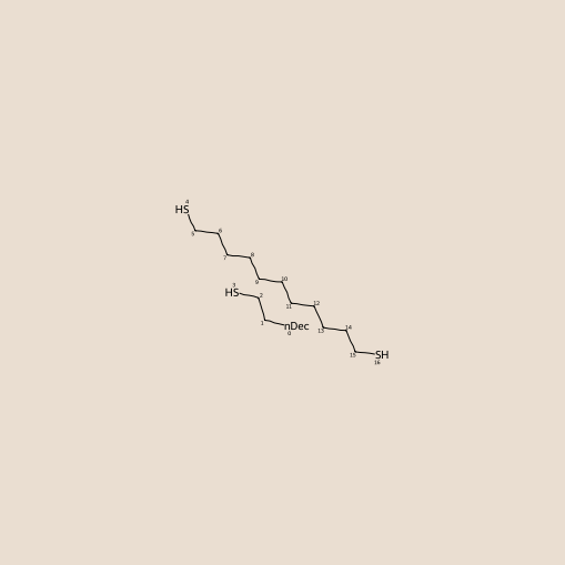 CCCCCCCCCCCCS.SCCCCCCCCCCCS